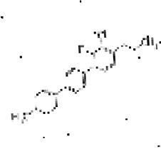 CCCc1ccc(-c2ccc(C3=CCC(C)CC3)cc2)c(F)c1Cl